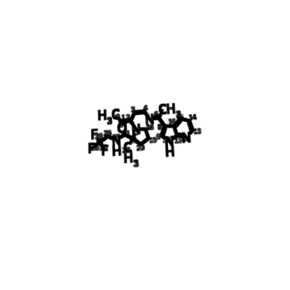 C\C=C(/C=C\N=C(/C)c1c[nH]c2ncccc12)N1CCCC1(C)C(=O)NCC(F)(F)F